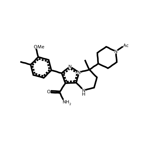 COc1cc(-c2nn3c(c2C(N)=O)NCCC3(C)C2CCN(C(C)=O)CC2)ccc1C